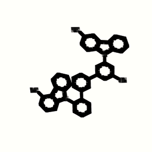 N#Cc1cc(-c2cccc(-c3ccccc3-n3c4ccccc4c4c(C#N)cccc43)c2)cc(-n2c3ccccc3c3cc(C#N)ccc32)c1